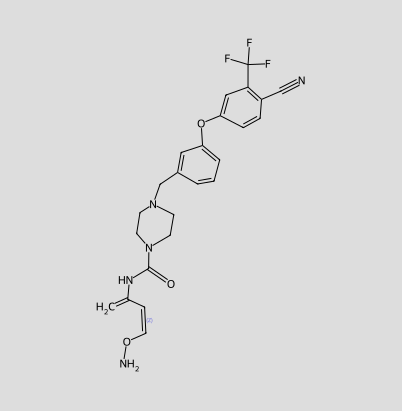 C=C(/C=C\ON)NC(=O)N1CCN(Cc2cccc(Oc3ccc(C#N)c(C(F)(F)F)c3)c2)CC1